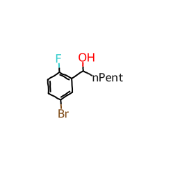 CCCCCC(O)c1cc(Br)ccc1F